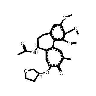 COc1cc2c(c(OC)c1OC)-c1cc(I)c(=O)c(O[C@H]3CCOC3)cc1[C@@H](NC(C)=O)CC2